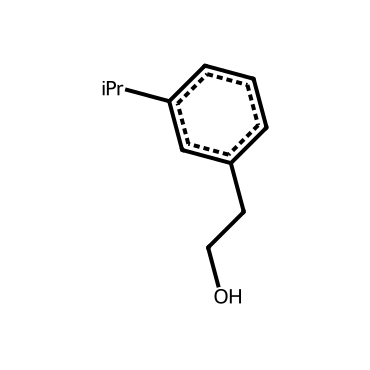 CC(C)c1cccc(CCO)c1